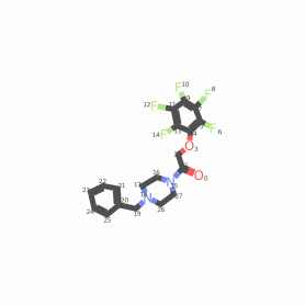 O=C(COc1c(F)c(F)c(F)c(F)c1F)N1CCN(Cc2ccccc2)CC1